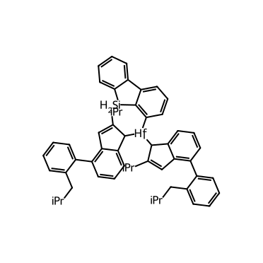 CC(C)Cc1ccccc1-c1cccc2c1C=C(C(C)C)[CH]2[Hf]([c]1cccc2c1[SiH2]c1ccccc1-2)[CH]1C(C(C)C)=Cc2c(-c3ccccc3CC(C)C)cccc21